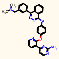 CN(C)Cc1cccc(-c2nnc(Nc3ccc(Oc4ncccc4-c4ccnc(N)n4)cc3)c3ccccc23)c1